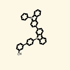 N#Cc1cccc(-c2ccc(-n3c4ccccc4c4ccc(-c5ccc6c(c5)c5ccccc5n6-c5ccccc5)cc43)cc2)c1